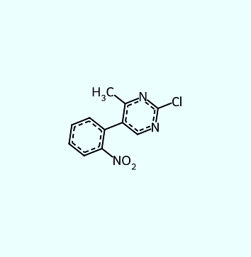 Cc1nc(Cl)ncc1-c1ccccc1[N+](=O)[O-]